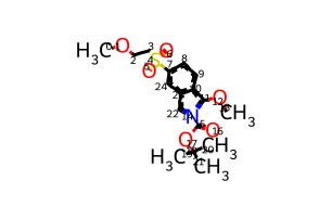 COCCS(=O)(=O)c1ccc2c(OC)n(C(=O)OC(C)(C)C)cc2c1